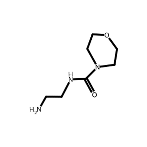 NCCNC(=O)N1CCOCC1